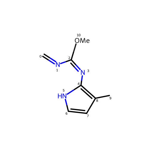 C=N/C(=N\c1[nH]ccc1C)OC